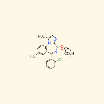 CC(=O)O.Cc1cnc2n1-c1ccc(C(F)(F)F)cc1C(c1ccccc1Cl)=NC2O